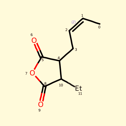 C/C=C\CC1C(=O)OC(=O)C1CC